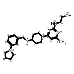 Cc1cc(N2CCC(NCc3cccc(N4CCCC4)c3)CC2)nc(NCCO)n1